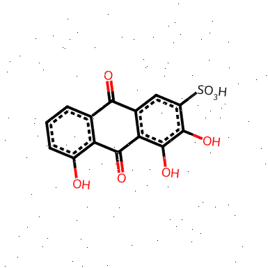 O=C1c2cccc(O)c2C(=O)c2c1cc(S(=O)(=O)O)c(O)c2O